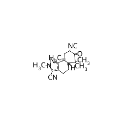 [C-]#[N+]C1C[C@]2(C)c3nn(C)c(C#N)c3CC[C@H]2C(C)(C)C1=O